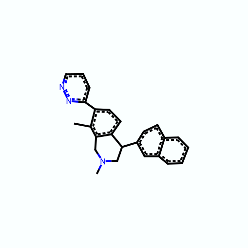 Cc1c(-c2cccnn2)ccc2c1CN(C)CC2c1ccc2ccccc2c1